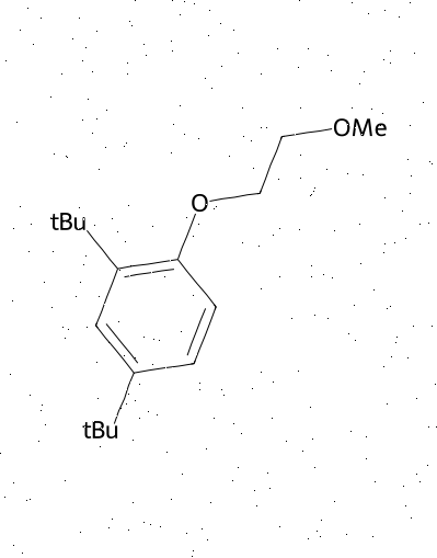 [CH2]OCCOc1ccc(C(C)(C)C)cc1C(C)(C)C